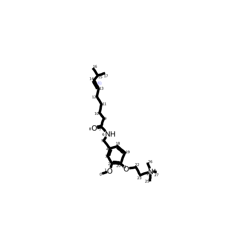 COc1cc(CNC(=O)CCCC/C=C/C(C)C)ccc1OCC[N+](C)(C)C